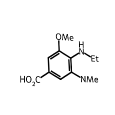 CCNc1c(NC)cc(C(=O)O)cc1OC